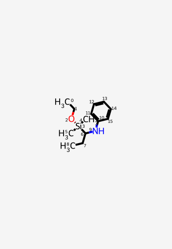 CCO[Si](C)(C)C(CC)Nc1ccccc1